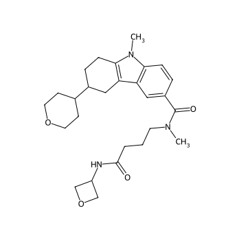 CN(CCCC(=O)NC1COC1)C(=O)c1ccc2c(c1)c1c(n2C)CCC(C2CCOCC2)C1